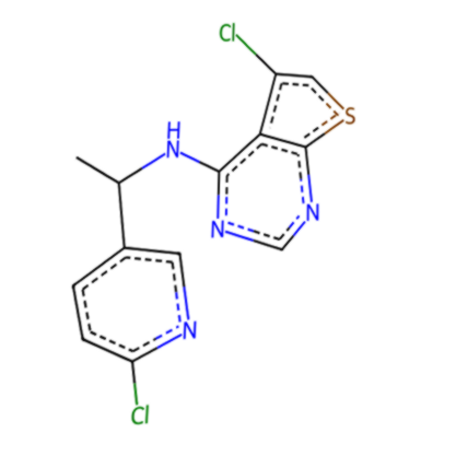 CC(Nc1ncnc2scc(Cl)c12)c1ccc(Cl)nc1